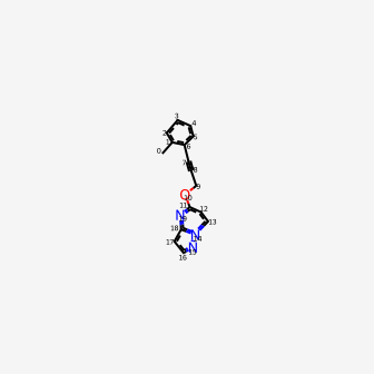 Cc1ccccc1C#CCOc1ccn2nccc2n1